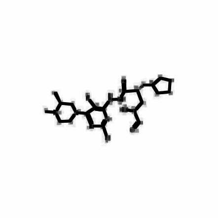 C[C@H]1CN(c2nc(Cl)nc(NNC(=O)[C@H](CC3CCCC3)CN(O)C=O)c2F)CCN1C